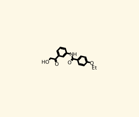 CCOc1ccc(C(=O)Nc2cccc(C(=O)CO)c2)cc1